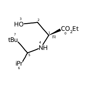 CCOC(=O)[C@H](CO)NC(C(C)C)C(C)(C)C